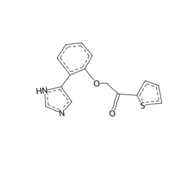 O=C(COc1ccccc1-c1cnc[nH]1)c1cccs1